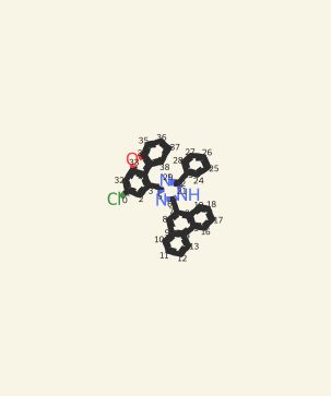 Clc1cc(C2=NC(c3cc4ccccc4c4ccccc34)NC(c3ccccc3)=N2)c2c(c1)oc1ccccc12